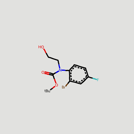 CC(C)(C)OC(=O)N(CCO)c1ccc(F)cc1Br